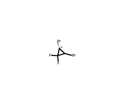 CC(C)C1[C@@H](C(C)C)C1(F)F